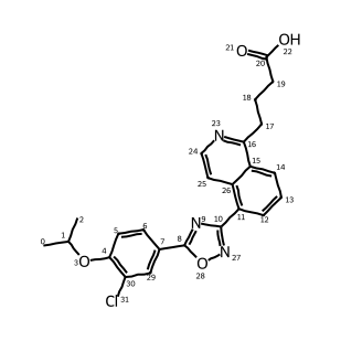 CC(C)Oc1ccc(-c2nc(-c3cccc4c(CCCC(=O)O)nccc34)no2)cc1Cl